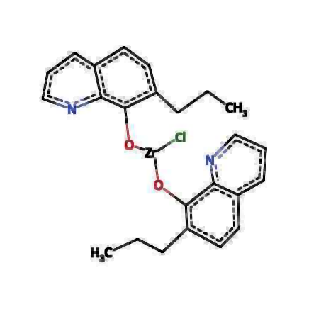 CCCc1ccc2cccnc2c1[O][Zr]([Cl])[O]c1c(CCC)ccc2cccnc12